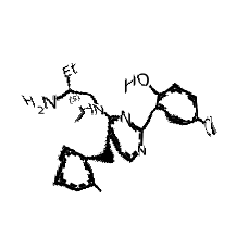 CC[C@H](N)CNc1nc(-c2cc(Cl)ccc2O)ncc1-c1ccccc1C